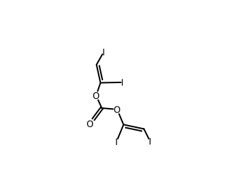 O=C(OC(I)=CI)OC(I)=CI